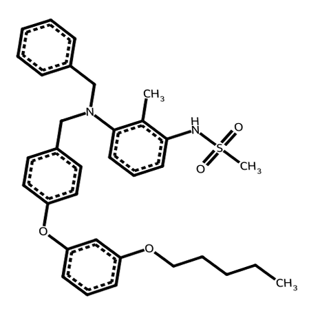 CCCCCOc1cccc(Oc2ccc(CN(Cc3ccccc3)c3cccc(NS(C)(=O)=O)c3C)cc2)c1